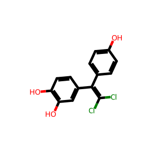 Oc1ccc(C(=C(Cl)Cl)c2ccc(O)c(O)c2)cc1